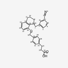 N#Cc1cccc(CN2CCCc3cccc(OCc4ccc(CCC(=O)O)cc4)c32)c1